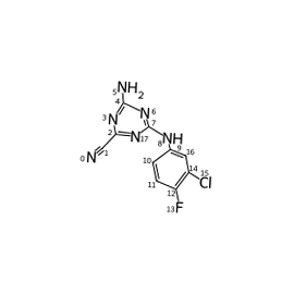 N#Cc1nc(N)nc(Nc2ccc(F)c(Cl)c2)n1